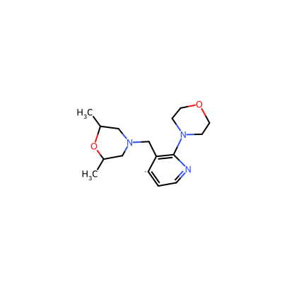 CC1CN(Cc2[c]ccnc2N2CCOCC2)CC(C)O1